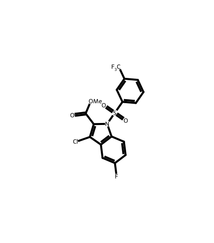 COC(=O)c1c(Cl)c2cc(F)ccc2n1S(=O)(=O)c1cccc(C(F)(F)F)c1